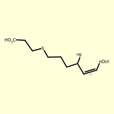 CCCCCCCC/C=C\C([18F])CCCSCCC(=O)O